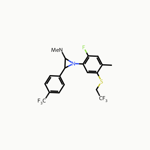 CNC1C(c2ccc(C(F)(F)F)cc2)N1c1cc(SCC(F)(F)F)c(C)cc1F